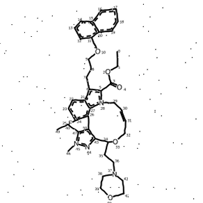 CCOC(=O)c1c(CCCOc2cccc3ccccc23)c2ccc(F)c3c2n1C/C=C\COC(CCN1CCOCC1)c1nn(C)c(CC)c1-3